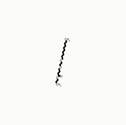 CCCCCCCCCCOCCOCCCC(=O)OCCC